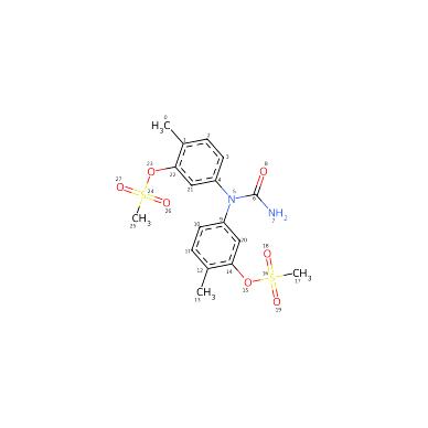 Cc1ccc(N(C(N)=O)c2ccc(C)c(OS(C)(=O)=O)c2)cc1OS(C)(=O)=O